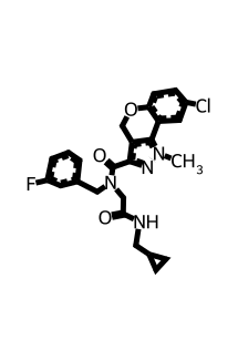 Cn1nc(C(=O)N(CC(=O)NCC2CC2)Cc2cccc(F)c2)c2c1-c1cc(Cl)ccc1OC2